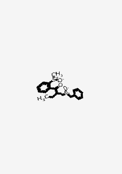 CCC(C[N+]([O-])=Cc1ccccc1)C(=O)c1ccccc1[S+](C)[O-]